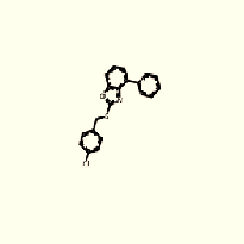 Clc1ccc(CSc2nc3c(-c4ccccc4)cccc3o2)cc1